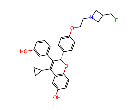 Oc1cccc(C2=C(C3CC3)c3cc(O)ccc3O[C@H]2c2ccc(OCCN3CC(CF)C3)cc2)c1